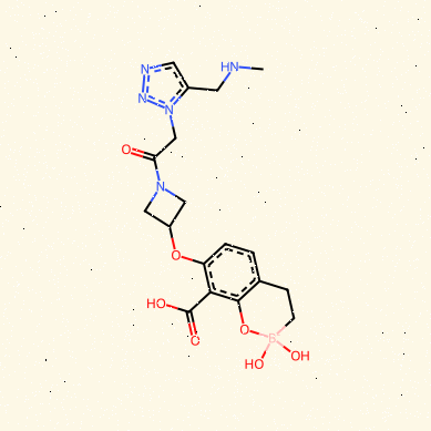 CNCc1cnnn1CC(=O)N1CC(Oc2ccc3c(c2C(=O)O)O[B-](O)(O)CC3)C1